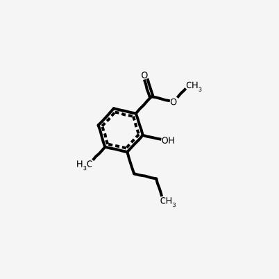 CCCc1c(C)ccc(C(=O)OC)c1O